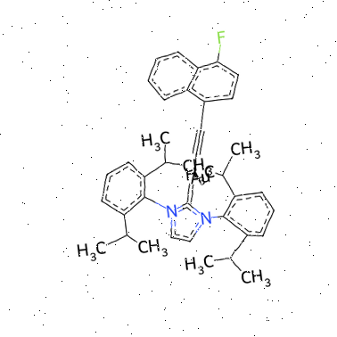 CC(C)c1cccc(C(C)C)c1-n1ccn(-c2c(C(C)C)cccc2C(C)C)[c]1=[Au][C]#Cc1ccc(F)c2ccccc12